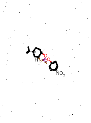 C=C(C)[C@@H]1CC[C@@]2(C)OP(=S)(Oc3ccc([N+](=O)[O-])cc3)S[C@@H]2C1